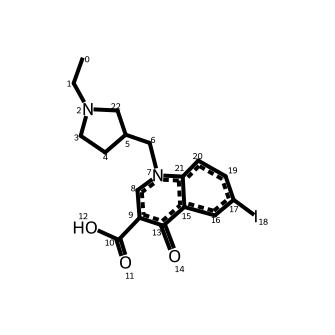 CCN1CCC(Cn2cc(C(=O)O)c(=O)c3cc(I)ccc32)C1